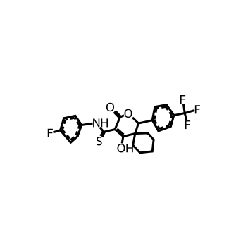 O=C1OC(c2ccc(C(F)(F)F)cc2)C2(CCCCC2)C(O)=C1C(=S)Nc1ccc(F)cc1